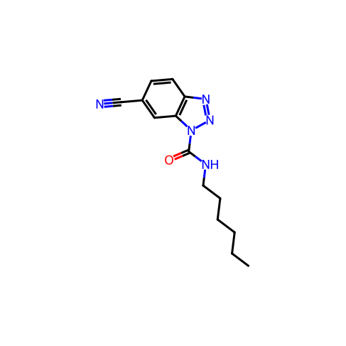 CCCCCCNC(=O)n1nnc2ccc(C#N)cc21